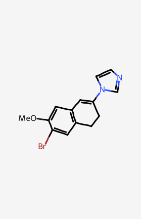 COc1cc2c(cc1Br)CCC(n1ccnc1)=C2